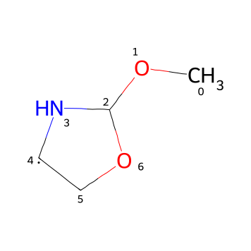 COC1N[CH]CO1